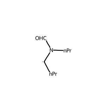 CCC[CH]N(C=O)CCC